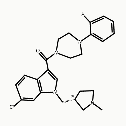 CN1CC[C@@H](Cn2cc(C(=O)N3CCN(c4ccccc4F)CC3)c3ccc(Cl)cc32)C1